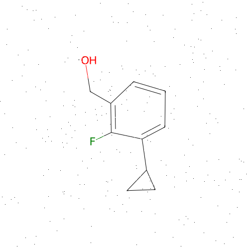 OCc1cccc(C2CC2)c1F